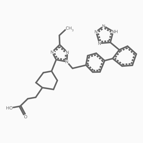 CCc1nc(C2CCC(CCC(=O)O)CC2)n(Cc2ccc(-c3ccccc3-c3nnn[nH]3)cc2)n1